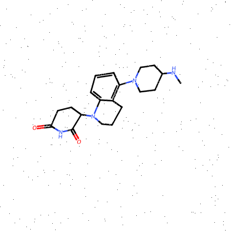 CNC1CCN(c2cccc3c2CCCN3C2CCC(=O)NC2=O)CC1